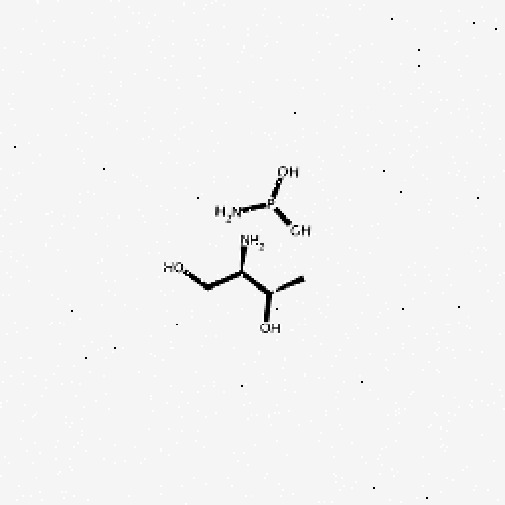 C[C@@H](O)[C@H](N)CO.NP(O)O